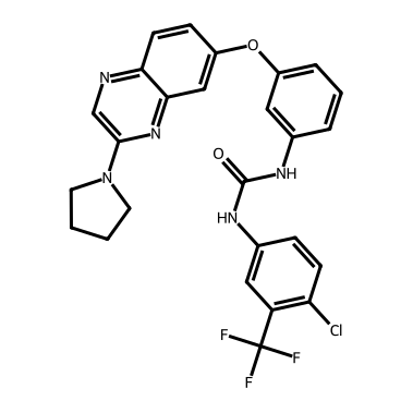 O=C(Nc1cccc(Oc2ccc3ncc(N4CCCC4)nc3c2)c1)Nc1ccc(Cl)c(C(F)(F)F)c1